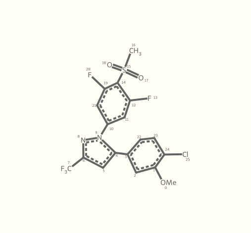 COc1cc(-c2cc(C(F)(F)F)nn2-c2cc(F)c(S(C)(=O)=O)c(F)c2)ccc1Cl